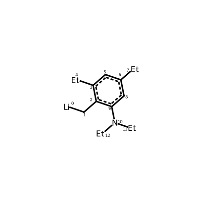 [Li][CH2]c1c(CC)cc(CC)cc1N(CC)CC